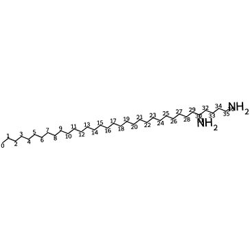 CCCCCCCCCCCCCCCCCCCCCCCCCCCCCCC(N)CCCCN